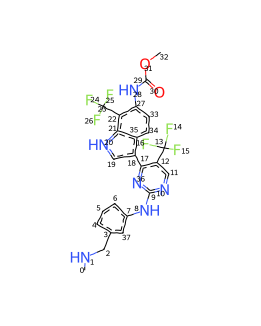 CNCc1cccc(Nc2ncc(C(F)(F)F)c(-c3c[nH]c4c(C(F)(F)F)c(NC(=O)OC)ccc34)n2)c1